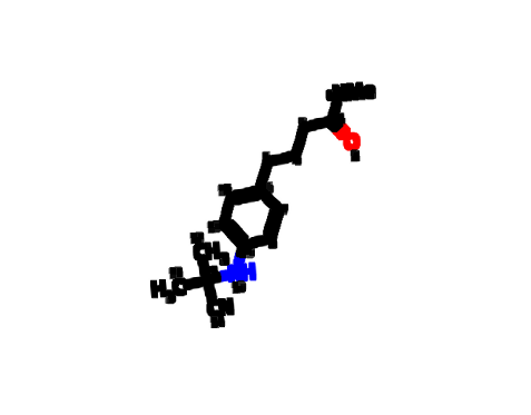 CNC(=O)CCCc1ccc(NC(C)(C)C#N)cc1